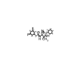 C[C@H](NC(C#N)c1ccccc1)C(=O)NC(=O)Cc1cc(F)cc(F)c1